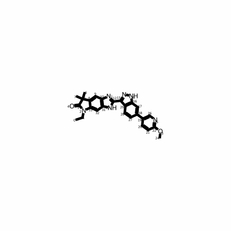 CCN1C(=O)C(C)(C)c2cc3nc(-c4n[nH]c5cc(-c6ccc(OC)nc6)ccc45)[nH]c3cc21